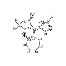 Cc1nc(-c2c(C#N)c(C(C)(C)C)nc3c2CCCCC3)co1